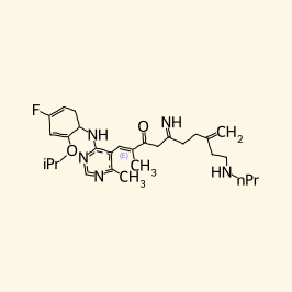 C=C(CCNCCC)CCC(=N)CC(=O)/C(C)=C/c1c(C)ncnc1NC1CC=C(F)C=C1OC(C)C